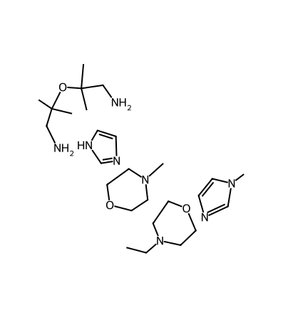 CC(C)(CN)OC(C)(C)CN.CCN1CCOCC1.CN1CCOCC1.Cn1ccnc1.c1c[nH]cn1